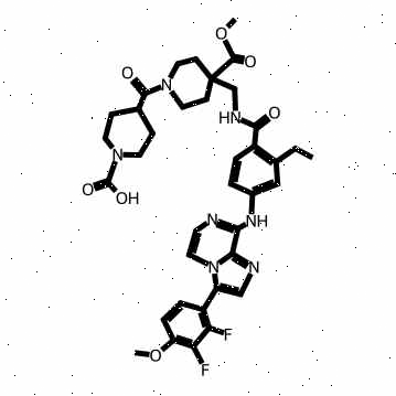 CCc1cc(Nc2nccn3c(-c4ccc(OC)c(F)c4F)cnc23)ccc1C(=O)NCC1(C(=O)OC)CCN(C(=O)C2CCN(C(=O)O)CC2)CC1